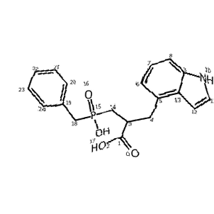 O=C(O)C(Cc1cccc2[nH]ccc12)CP(=O)(O)Cc1ccccc1